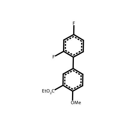 CCOC(=O)c1cc(-c2ccc(F)cc2F)ccc1OC